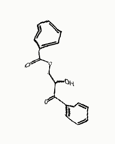 O=C(O[CH]C(O)C(=O)c1ccccc1)c1ccccc1